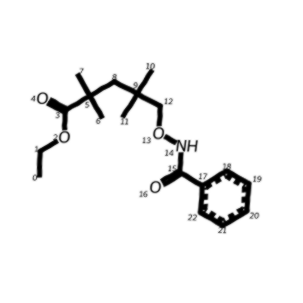 CCOC(=O)C(C)(C)CC(C)(C)CONC(=O)c1ccccc1